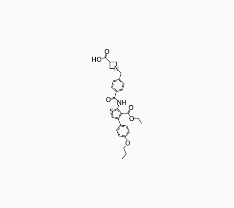 CCCOc1ccc(-c2csc(NC(=O)c3ccc(CN4CC(C(=O)O)C4)cc3)c2C(=O)OCC)cc1